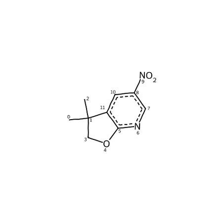 CC1(C)COc2ncc([N+](=O)[O-])cc21